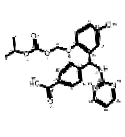 CC(C)OC(=O)OCOc1ccc(Cl)cc1C(Nc1ncccn1)c1ccc(C(=O)O)cc1